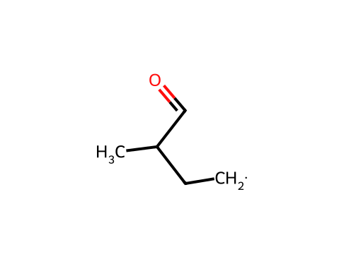 [CH2]CC(C)C=O